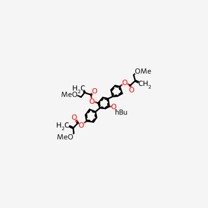 C=C(COC)C(=O)Oc1ccc(-c2cc(OC(=O)C(=C)COC)c(-c3ccc(OC(=O)C(=C)COC)cc3)cc2OCCCC)cc1